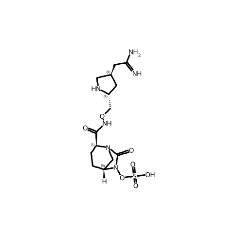 N=C(N)C[C@@H]1CN[C@@H](CONC(=O)[C@@H]2CC[C@@H]3CN2C(=O)N3OS(=O)(=O)O)C1